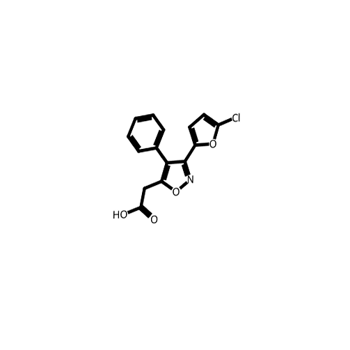 O=C(O)Cc1onc(-c2ccc(Cl)o2)c1-c1ccccc1